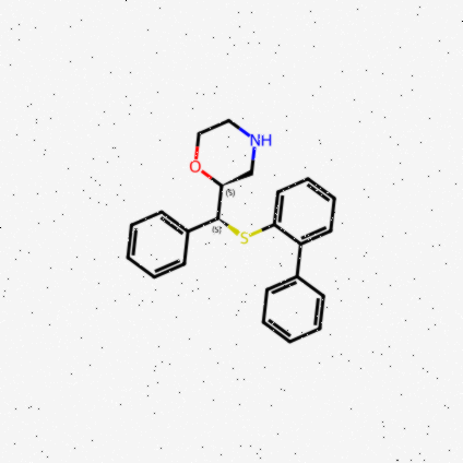 c1ccc(-c2ccccc2S[C@@H](c2ccccc2)[C@@H]2CNCCO2)cc1